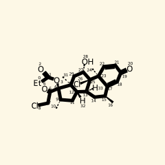 CCC(=O)O[C@]1(C(=O)CCl)[C@@H](C)C[C@H]2[C@@H]3C[C@H](C)C4=CC(=O)C=C[C@]4(C)[C@@]3(Cl)[C@@H](O)C[C@@]21C